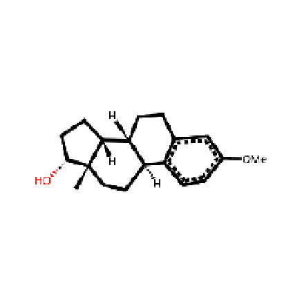 COc1ccc2c(c1)CC[C@@H]1[C@@H]2CC[C@]2(C)[C@H](O)CC[C@H]12